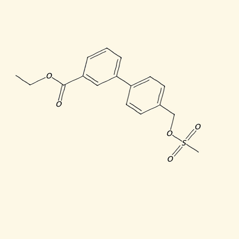 CCOC(=O)c1cccc(-c2ccc(COS(C)(=O)=O)cc2)c1